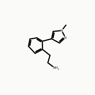 Cn1cc(-c2ccccc2CCN)cn1